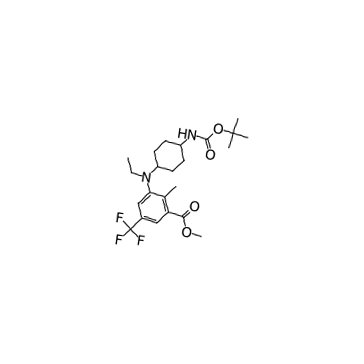 CCN(c1cc(C(F)(F)F)cc(C(=O)OC)c1C)C1CCC(NC(=O)OC(C)(C)C)CC1